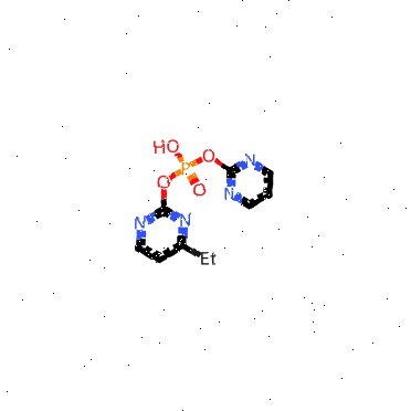 CCc1ccnc(OP(=O)(O)Oc2ncccn2)n1